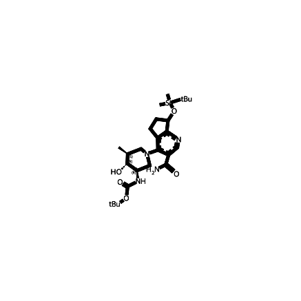 C[C@H]1CN(c2c(C(N)=O)cnc3c2CCC3O[Si](C)(C)C(C)(C)C)C[C@@H](NC(=O)OC(C)(C)C)[C@@H]1O